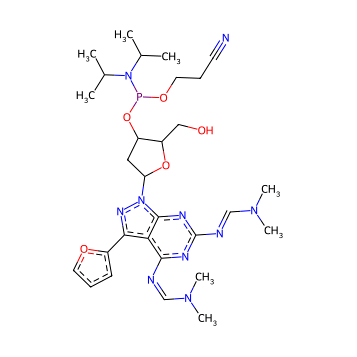 CC(C)N(C(C)C)P(OCCC#N)OC1CC(n2nc(-c3ccco3)c3c(/N=C\N(C)C)nc(/N=C/N(C)C)nc32)OC1CO